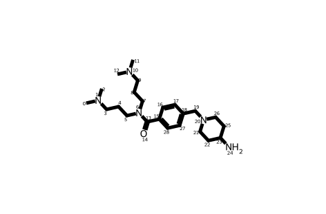 CN(C)CCCN(CCCN(C)C)C(=O)c1ccc(CN2CCC(N)CC2)cc1